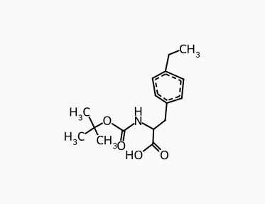 CCc1ccc(CC(NC(=O)OC(C)(C)C)C(=O)O)cc1